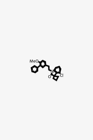 COc1ccc(CCNC(=O)C2(c3ccccc3Cl)CCC2)cc1-c1ccccc1